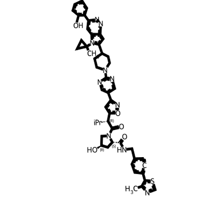 Cc1ncsc1-c1ccc(CNC(=O)[C@@H]2C[C@@H](O)CN2C(=O)[C@@H](c2cc(-c3cnc(N4CCC(c5cc6nnc(-c7ccccc7O)cc6n5C5(C)CC5)CC4)nc3)no2)C(C)C)cc1